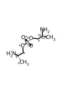 C[C@H](N)COS(=O)(=O)OC[C@H](C)N